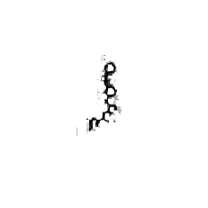 Cn1cc(-c2cnc3c(c2)C(C(=O)c2c(F)ccc(NS(=O)(=O)c4cccc(F)c4)c2F)C=N3)cn1